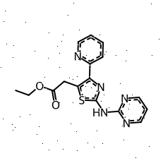 CCOC(=O)Cc1sc(Nc2ncccn2)nc1-c1ccccn1